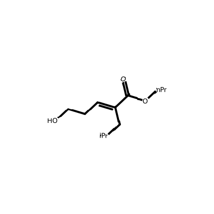 CCCOC(=O)C(=CCCO)CC(C)C